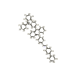 C(=C\c1ccc(-c2c3ccccc3c(-c3ccc4c5ccccc5n(-c5ccccc5)c4c3)c3ccccc23)cc1)/c1ccc(-c2ccccc2)cc1